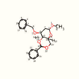 CO[C@@H]1C[C@H](OCc2ccccc2)[C@@H]2OC(c3ccccc3)OC[C@H]2O1